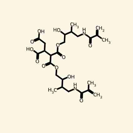 C=C(C)C(=O)NCC(C)C(O)COC(=O)C(C(=O)OCC(O)C(C)CNC(=O)C(=C)C)C(CC(=O)O)C(=O)O